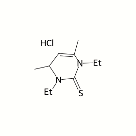 CCN1C(=S)N(CC)C(C)C=C1C.Cl